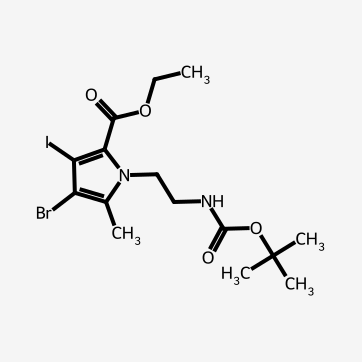 CCOC(=O)c1c(I)c(Br)c(C)n1CCNC(=O)OC(C)(C)C